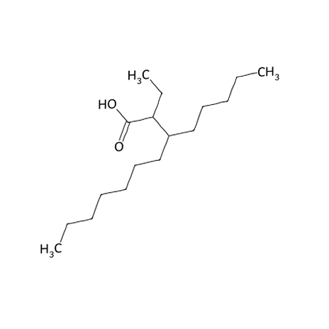 CCCCCCCC(CCCCC)C(CC)C(=O)O